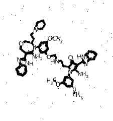 COc1cc(OCNCCC2C(=O)C(c3nc4ccccc4[nH]3)=C(N)N2c2cc(OC)cc(OC)c2)cc(N2C(N)=C(c3nc4ccccc4[nH]3)COCC2CCN2CCCC2)c1